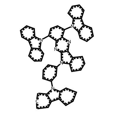 c1cc(-n2c3ccccc3c3ccccc32)cc(-n2c3ccccc3c3nc4c(-n5c6ccccc6c6ccccc65)ccc(-n5c6ccccc6c6ccccc65)c4nc32)c1